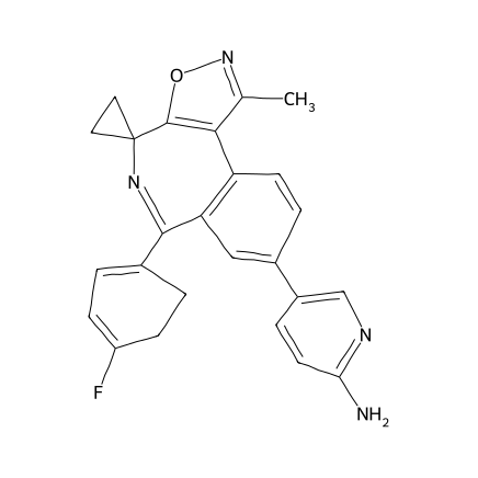 Cc1noc2c1-c1ccc(-c3ccc(N)nc3)cc1C(C1=CC=C(F)CC1)=NC21CC1